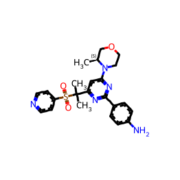 C[C@H]1COCCN1c1cc(C(C)(C)S(=O)(=O)c2ccncc2)nc(-c2ccc(N)cc2)n1